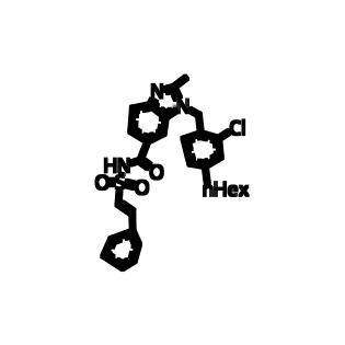 CCCCCCc1ccc(Cn2c(C)nc3ccc(C(=O)NS(=O)(=O)C=Cc4ccccc4)cc32)c(Cl)c1